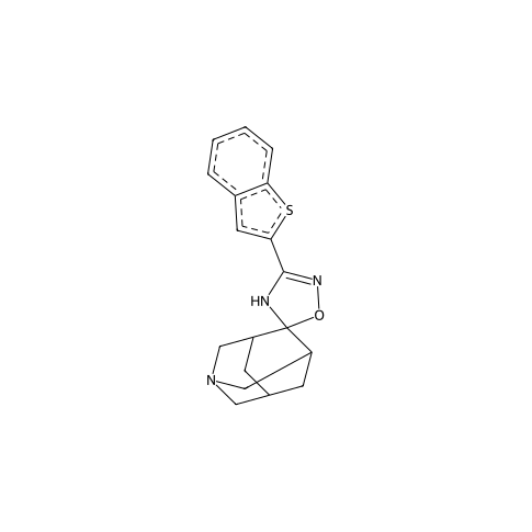 c1ccc2sc(C3=NOC4(N3)C3CC5CC4CN(C5)C3)cc2c1